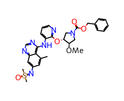 CO[C@@H]1CN(C(=O)OCc2ccccc2)C[C@H]1Oc1ncccc1Nc1ncnc2cc(N=S(C)(C)=O)cc(C)c12